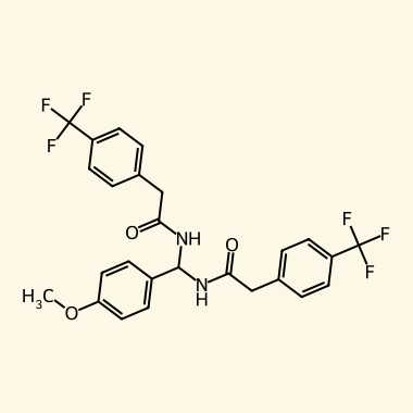 COc1ccc(C(NC(=O)Cc2ccc(C(F)(F)F)cc2)NC(=O)Cc2ccc(C(F)(F)F)cc2)cc1